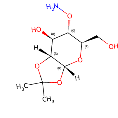 CC1(C)O[C@H]2O[C@H](CO)[C@@H](ON)[C@H](O)[C@H]2O1